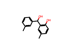 Cc1cccc(C(O)c2cc(C)ccc2O)c1